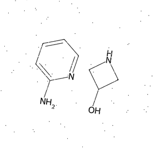 Nc1ccccn1.OC1CNC1